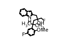 COc1ccc(F)cc1C(C)(C)CC(O)(CF)Cc1cc2ccccc2[nH]1